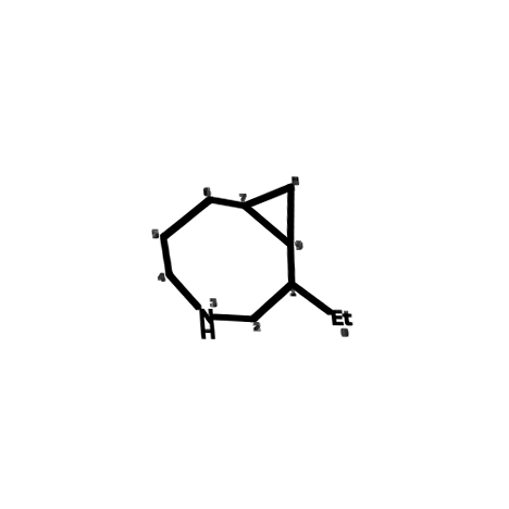 CCC1CNCCCC2CC12